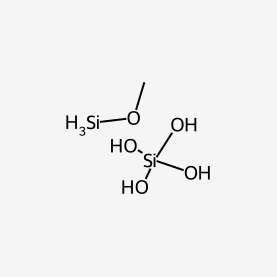 CO[SiH3].O[Si](O)(O)O